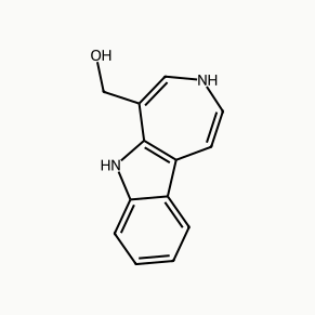 OCC1=CNC=Cc2c1[nH]c1ccccc21